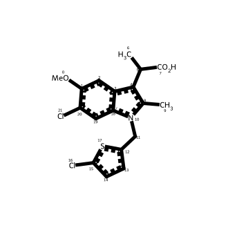 COc1cc2c(C(C)C(=O)O)c(C)n(Cc3ccc(Cl)s3)c2cc1Cl